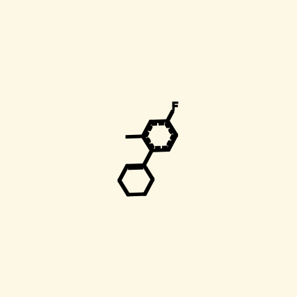 Cc1cc(F)ccc1C1=CCCCC1